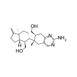 C=C1CC[C@H]2[C@H](CO)[C@@H]([C@@]3(C)Cc4cnc(N)nc4C[C@@H]3CO)CC[C@]12C